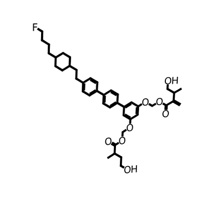 C=C(C(=O)OCOc1cc(OCOC(=O)C(C)CCO)cc(-c2ccc(-c3ccc(CCC4CCC(CCCCF)CC4)cc3)cc2)c1)C(C)CO